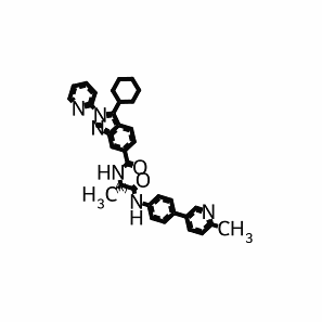 Cc1ccc(-c2ccc(NC(=O)[C@@H](C)NC(=O)c3ccc4c(C5CCCCC5)n(-c5ccccn5)nc4c3)cc2)cn1